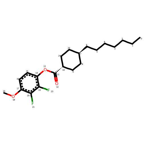 CCCCCCC[C@H]1CC[C@H](C(=O)Oc2ccc(OC)c(F)c2F)CC1